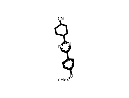 CCCCCCOc1ccc(-c2cnc(C3CCC(C#N)CC3)nc2)cc1